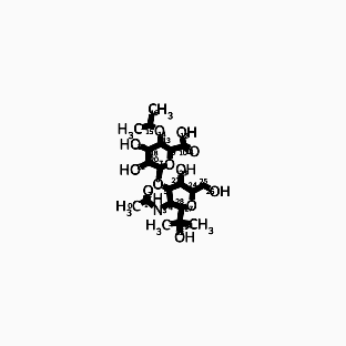 CC(=O)NC1C(OC2OC(C(=O)O)C(OC(C)C)C(O)C2O)C(O)C(CO)OC1C(C)(C)O